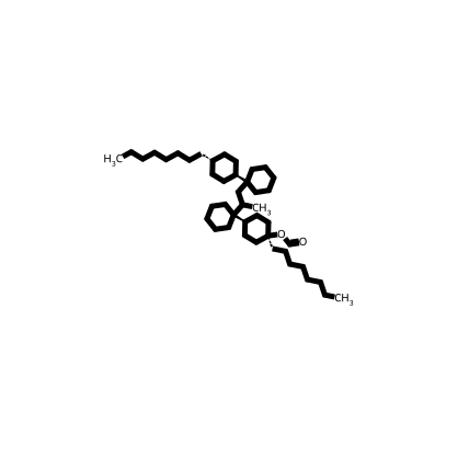 CCCCCCCC[C@H]1CC[C@H](C2(CC(C)C3([C@H]4CC[C@@](CCCCCCCC)(OC=O)CC4)CCCCC3)CCCCC2)CC1